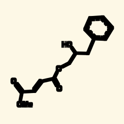 COC(=O)C=CC(=O)OCC(O)Cc1ccccc1